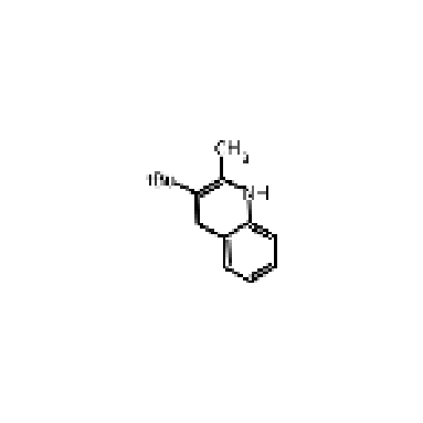 CC1=C(C(C)(C)C)Cc2ccccc2N1